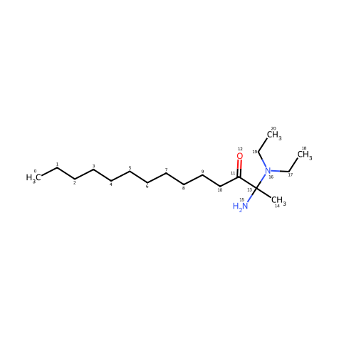 CCCCCCCCCCCC(=O)C(C)(N)N(CC)CC